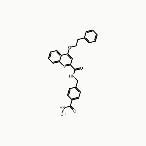 O=C(NO)c1ccc(CNC(=O)c2cc(OCCc3ccccc3)c3ccccc3n2)cc1